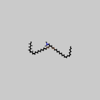 CCCCC/C=C\C/C=C\CCCCCCCCSSCC(CN(C)C)SSCCCCCCCC/C=C\C/C=C\CCCCC